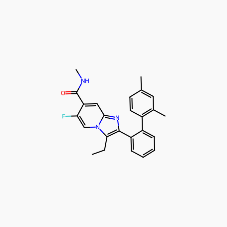 CCc1c(-c2ccccc2-c2ccc(C)cc2C)nc2cc(C(=O)NC)c(F)cn12